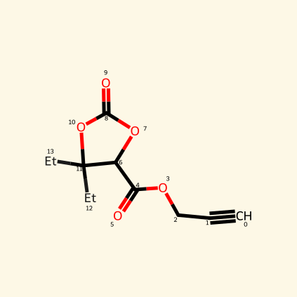 C#CCOC(=O)C1OC(=O)OC1(CC)CC